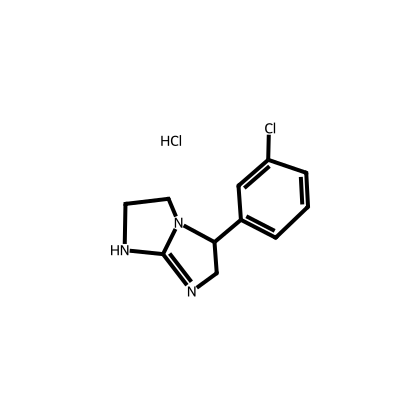 Cl.Clc1cccc(C2CN=C3NCCN32)c1